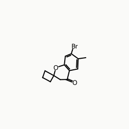 Cc1cc2c(cc1Br)OC1(CCC1)CC2=O